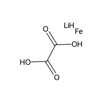 O=C(O)C(=O)O.[Fe].[LiH]